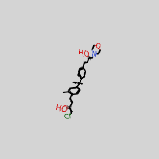 Cc1cc(C(C)(C)c2ccc(CC[C@H](O)CN3CCOCC3)cc2)ccc1CC[C@H](O)CCl